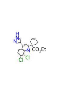 CCOC(=O)C1(c2cc(-c3cn[nH]c3)c3ccc(Cl)c(Cl)c3n2)CC=CCC1